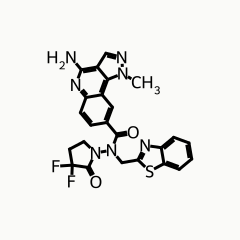 Cn1ncc2c(N)nc3ccc(C(=O)N(Cc4nc5ccccc5s4)N4CCC(F)(F)C4=O)cc3c21